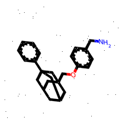 NCc1ccc(OCC23CC4CC(C2)CC(c2ccccc2)(C4)C3)cc1